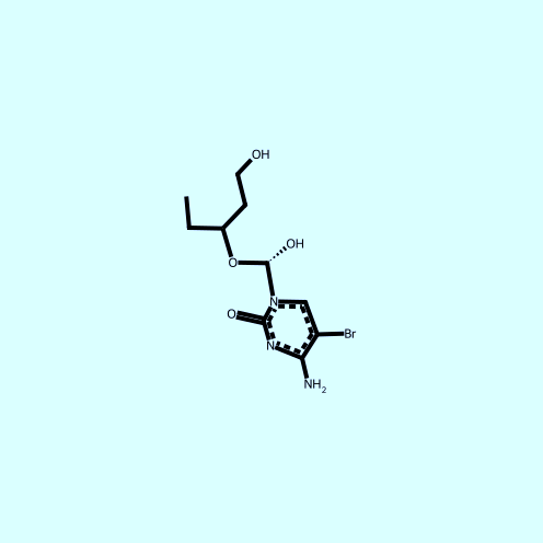 CCC(CCO)O[C@H](O)n1cc(Br)c(N)nc1=O